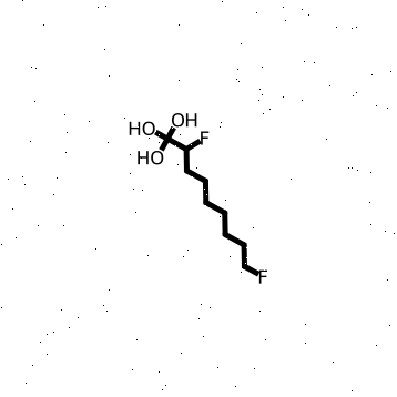 OC(O)(O)C(F)CCCCCCCF